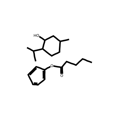 CC1CCC(C(C)C)C(O)C1.CCCCC(=O)Oc1ccccc1